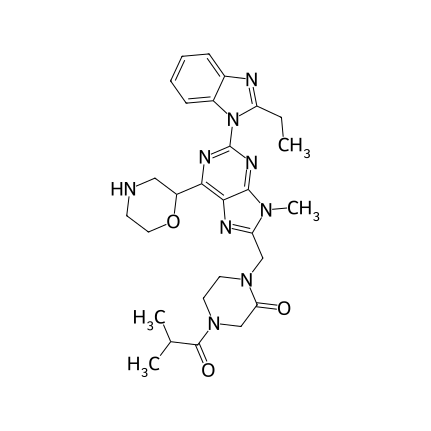 CCc1nc2ccccc2n1-c1nc(C2CNCCO2)c2nc(CN3CCN(C(=O)C(C)C)CC3=O)n(C)c2n1